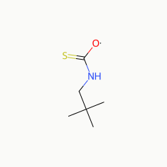 CC(C)(C)CNC([O])=S